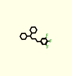 Fc1cc(CCCC(C2CCCCC2)C2CCCCC2)cc(F)c1F